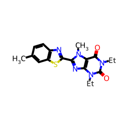 CCn1c(=O)c2c(nc(-c3nc4ccc(C)cc4s3)n2C)n(CC)c1=O